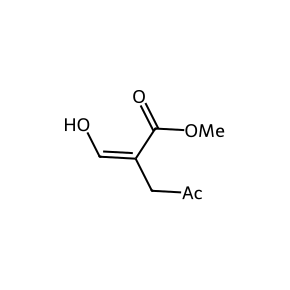 COC(=O)/C(=C\O)CC(C)=O